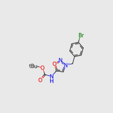 CC(C)(C)OC(=O)Nc1c[n+](Cc2ccc(Br)cc2)no1